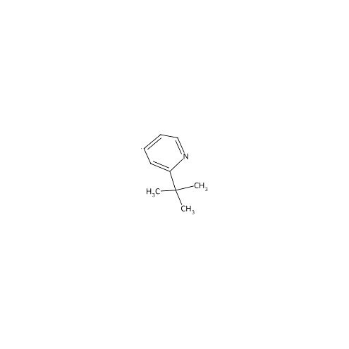 CC(C)(C)c1c[c]ccn1